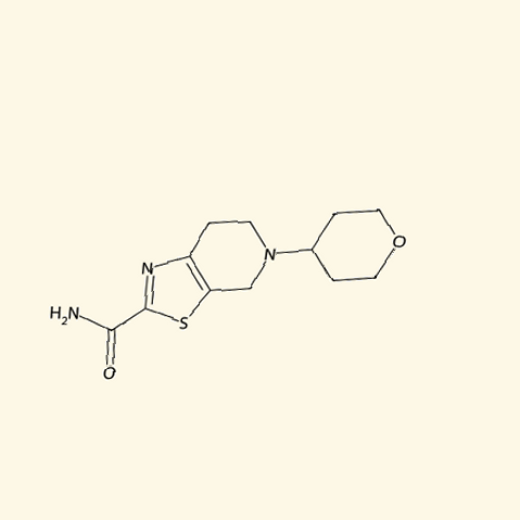 NC(=O)c1nc2c(s1)CN(C1CCOCC1)CC2